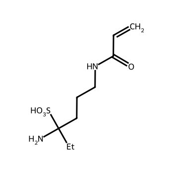 C=CC(=O)NCCCC(N)(CC)S(=O)(=O)O